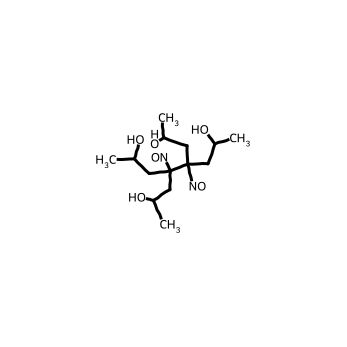 CC(O)CC(CC(C)O)(N=O)C(CC(C)O)(CC(C)O)N=O